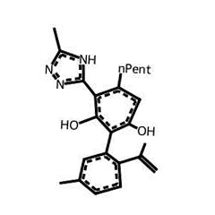 C=C(C)c1ccc(C)cc1-c1c(O)cc(CCCCC)c(-c2nnc(C)[nH]2)c1O